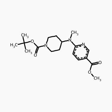 COC(=O)c1ccc(N(C)C2CCN(C(=O)OC(C)(C)C)CC2)nc1